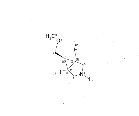 COC[C@H]1[C@H]2CN(I)C[C@@H]12